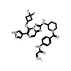 C=CC(=O)Nc1ccc(C(=O)N2CCCC(Nc3nc4cnc(-c5cn[nH]c5)c(OC5CC(F)(F)C5)n4n3)C2)cc1